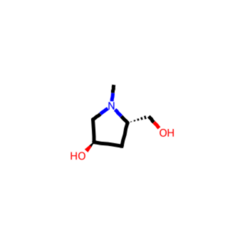 CN1C[C@H](O)C[C@H]1CO